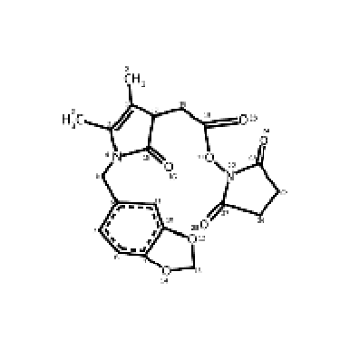 CC1=C(C)N(Cc2ccc3c(c2)OCO3)C(=O)C1CC(=O)ON1C(=O)CCC1=O